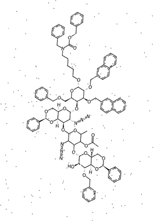 CC(=O)OC1C(C)OC(O[C@@H]2[C@@H](N=[N+]=[N-])[C@@H](O[C@@H]3[C@H](OCc4ccc5ccccc5c4)[C@@H](OCc4ccc5ccccc5c4)[C@@H](OCCCCCN(Cc4ccccc4)C(=O)OCc4ccccc4)O[C@@H]3COCc3ccccc3)O[C@@H]3CO[C@H](c4ccccc4)O[C@H]23)C(N=[N+]=[N-])C1O[C@@H]1O[C@@H]2CO[C@@H](c3ccccc3)O[C@H]2[C@H](OCc2ccccc2)[C@H]1O